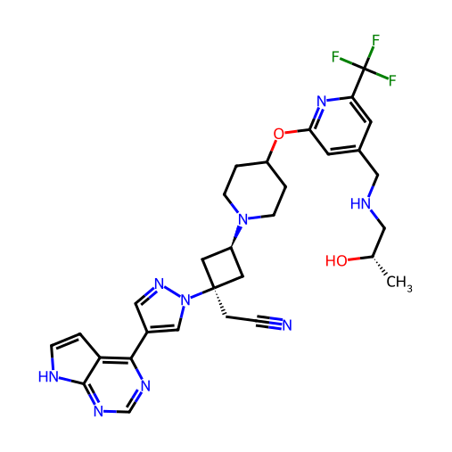 C[C@H](O)CNCc1cc(OC2CCN([C@H]3C[C@@](CC#N)(n4cc(-c5ncnc6[nH]ccc56)cn4)C3)CC2)nc(C(F)(F)F)c1